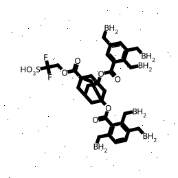 BCc1cc(CB)c(CB)c(C(=O)OC23CC4CC(OC(=O)c5c(CB)ccc(CB)c5CB)(C2)CC(C(=O)OCC(F)(F)S(=O)(=O)O)(C4)C3)c1